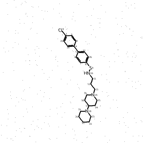 Clc1ccc(-c2ccc(SNCCCN3CCC(N4CCCCC4)CC3)cc2)cc1